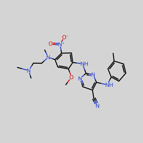 COc1cc(N(C)CCN(C)C)c([N+](=O)[O-])cc1Nc1ncc(C#N)c(Nc2cccc(C)c2)n1